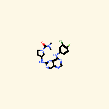 CN(C)C(=O)N1CCC(Nc2ncc3ncnc(Nc4ccc(F)c(Cl)c4)c3n2)C1